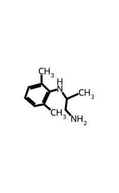 Cc1cccc(C)c1NC(C)CN